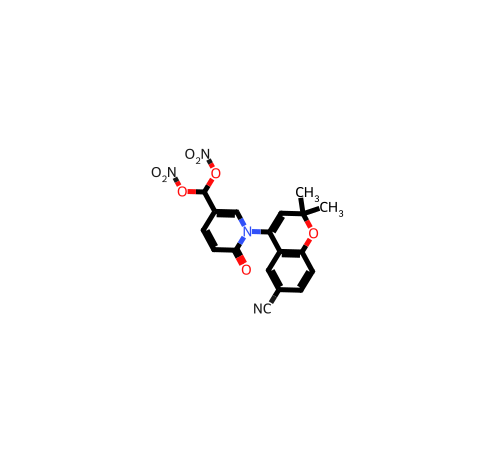 CC1(C)C=C(n2cc(C(O[N+](=O)[O-])O[N+](=O)[O-])ccc2=O)c2cc(C#N)ccc2O1